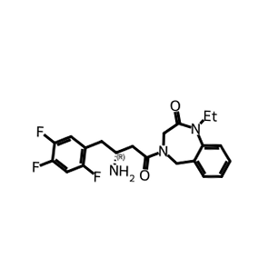 CCN1C(=O)CN(C(=O)C[C@H](N)Cc2cc(F)c(F)cc2F)Cc2ccccc21